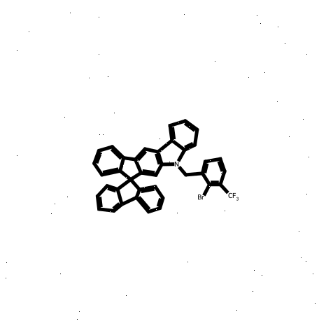 FC(F)(F)c1cccc(Cn2c3ccccc3c3cc4c(cc32)C2(c3ccccc3-c3ccccc32)c2ccccc2-4)c1Br